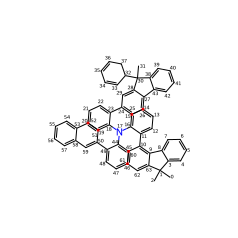 CC1(C)c2ccccc2-c2c(-c3ccccc3N(c3ccccc3-c3ccc4c(c3)C(C)(C3C=CC=CC3)c3ccccc3-4)c3ccccc3-c3ccc4ccccc4c3)cccc21